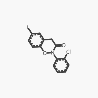 O=C1Cc2cc(I)ccc2ON1c1ccccc1Cl